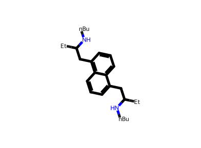 CCCCNC(CC)Cc1cccc2c(CC(CC)NCCCC)cccc12